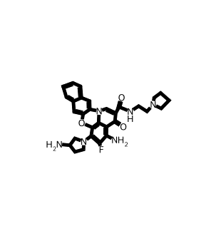 Nc1c(F)c(N2CCC(N)C2)c2c3c1c(=O)c(C(=O)NCCN1CCCC1)cn3-c1cc3ccccc3cc1O2